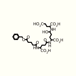 O=C(O)CCC(NC(O)CCC(NC(=O)CCC(NC(=O)CCCC(=O)OCc1ccccc1)C(=O)O)C(=O)O)C(=O)O